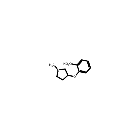 CN1CCC(Oc2ccccc2C(=O)O)C1